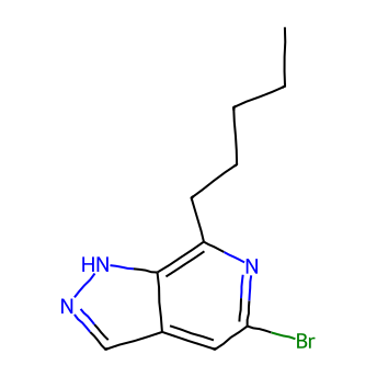 CCCCCc1nc(Br)cc2cn[nH]c12